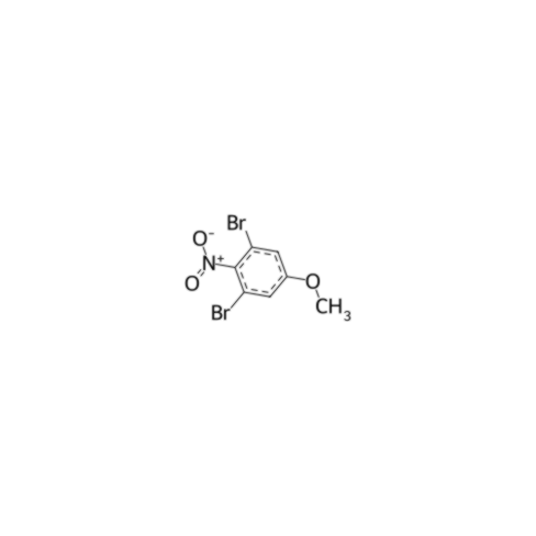 COc1cc(Br)c([N+](=O)[O-])c(Br)c1